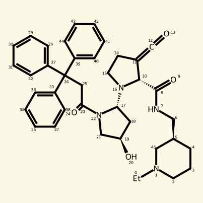 CCN1CCC[C@H](CNC(=O)[C@H]2C(=C=O)CCN2[C@@H]2C[C@@H](O)CN2C(=O)CC(c2ccccc2)(c2ccccc2)c2ccccc2)C1